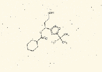 CCCCCCCCCCCCC(OC(=O)C1CCCCC1)c1coc([Si](C)(C)C)c1